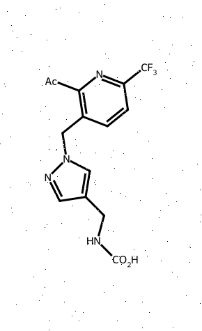 CC(=O)c1nc(C(F)(F)F)ccc1Cn1cc(CNC(=O)O)cn1